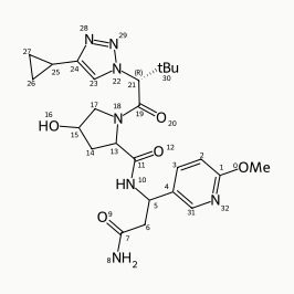 COc1ccc(C(CC(N)=O)NC(=O)C2CC(O)CN2C(=O)[C@H](n2cc(C3CC3)nn2)C(C)(C)C)cn1